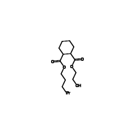 CC(C)CCCOC(=O)C1CCCCC1C(=O)OCCO